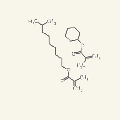 C=C(C)C(=O)OC1CCCCC1.C=C(C)C(=O)OCCCCCCCC(C)C